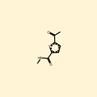 [CH2]NC(=O)c1ccc(C(C)=O)s1